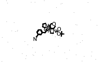 CC(C)(C)OC(=O)N1CCN(C(=O)Cc2cccc(C#N)c2)[C@H]2C1COC[C@@H]2N1CCCC1